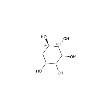 OC1C[C@@H](O)[C@H](O)C(O)C1O